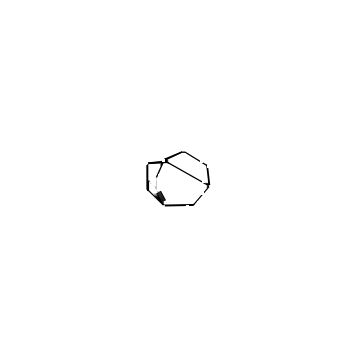 C1N=C2CC3CC1CC(C2)C3